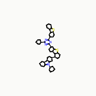 c1ccc(-c2nc(-c3ccc4c(c3)sc3cccc(-c5ccc6c7ccccc7n(-c7ccccc7)c6c5)c34)nc(-c3ccc4sc5ccccc5c4c3)n2)cc1